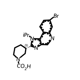 CC(C)n1c([C@H]2CCCN(C(=O)O)C2)nc2cnc3cc(Br)ccc3c21